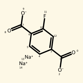 O=C([O-])c1ccc(C(=O)[O-])c(F)c1.[Na+].[Na+]